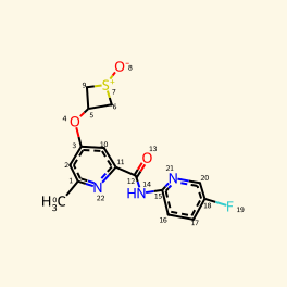 Cc1cc(OC2C[S+]([O-])C2)cc(C(=O)Nc2ccc(F)cn2)n1